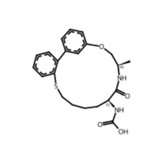 C[C@@H]1COc2cccc(c2)-c2ccccc2SCCCC[C@H](NC(=O)O)C(=O)N1